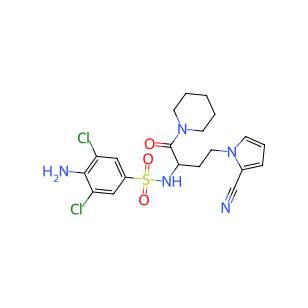 N#Cc1cccn1CCC(NS(=O)(=O)c1cc(Cl)c(N)c(Cl)c1)C(=O)N1CCCCC1